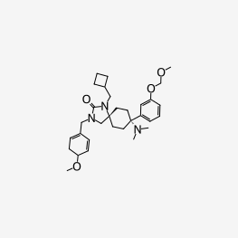 COCOc1cccc([C@]2(N(C)C)CC[C@@]3(CC2)CN(CC2=CCC(OC)C=C2)C(=O)N3CC2CCC2)c1